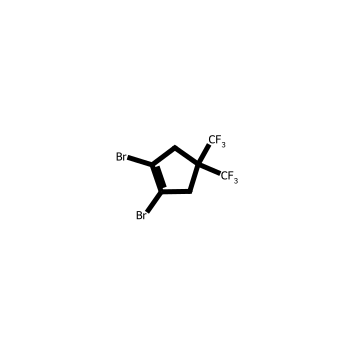 FC(F)(F)C1(C(F)(F)F)CC(Br)=C(Br)C1